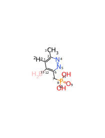 [2H]c1c(C)nnc(CP(=O)(O)O)c1B